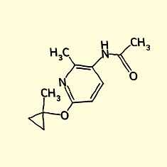 CC(=O)Nc1ccc(OC2(C)CC2)nc1C